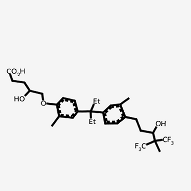 CCC(CC)(c1ccc(CCC(O)C(C)(C(F)(F)F)C(F)(F)F)c(C)c1)c1ccc(OCC(O)CCC(=O)O)c(C)c1